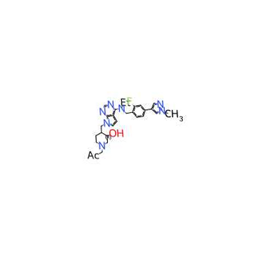 CCN(Cc1ccc(-c2cnn(C)c2)cc1F)c1ncnc2c1ccn2CC1CCN(CC(C)=O)C[C@@H]1O